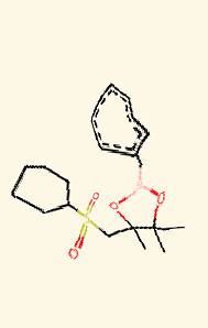 CC1(C)OB(c2ccccc2)OC1(C)CS(=O)(=O)C1CCCC1